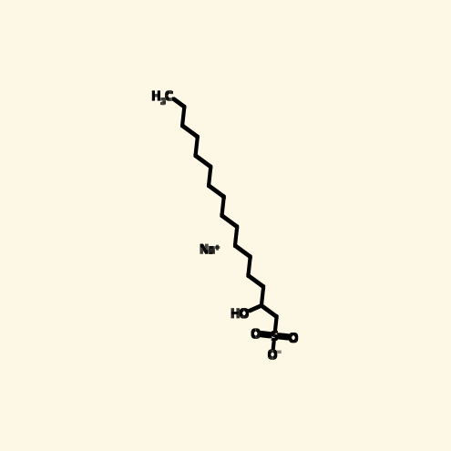 CCCCCCCCCCCCCCC(O)CS(=O)(=O)[O-].[Na+]